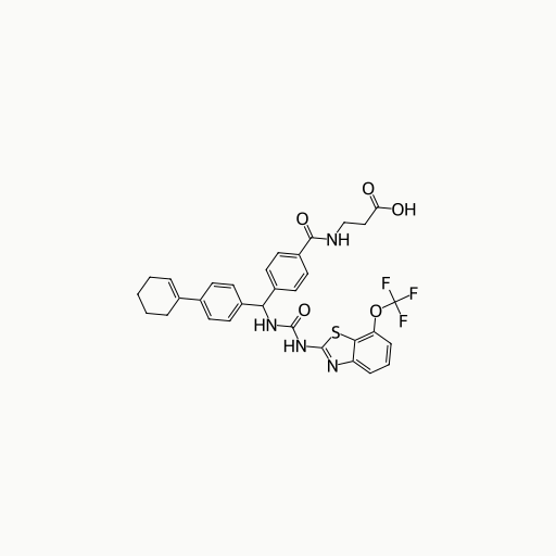 O=C(O)CCNC(=O)c1ccc(C(NC(=O)Nc2nc3cccc(OC(F)(F)F)c3s2)c2ccc(C3=CCCCC3)cc2)cc1